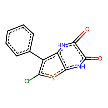 O=c1[nH]c2sc(Cl)c(-c3ccccc3)c2[nH]c1=O